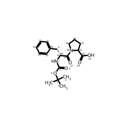 CC(C)(C)OC(=O)N[C@H](Cc1ccccc1)C(=O)N1CCCC1C(=O)O